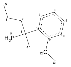 CCCC(C)(P)c1ccccc1OC